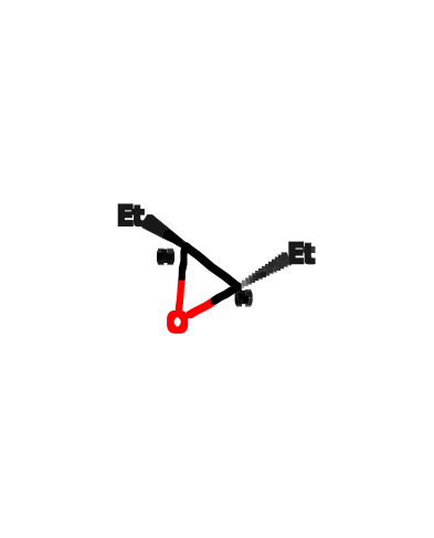 CC[C@@H]1O[C@H]1CC